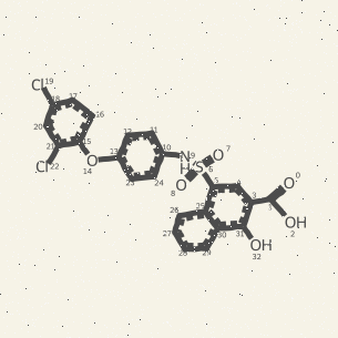 O=C(O)c1cc(S(=O)(=O)Nc2ccc(Oc3ccc(Cl)cc3Cl)cc2)c2ccccc2c1O